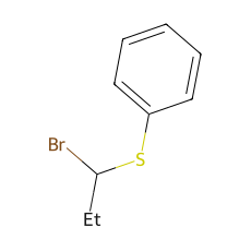 CCC(Br)Sc1ccccc1